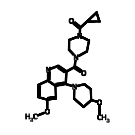 COc1ccc2ncc(C(=O)N3CCN(C(=O)C4CC4)CC3)c(N3CCC(OC)CC3)c2c1